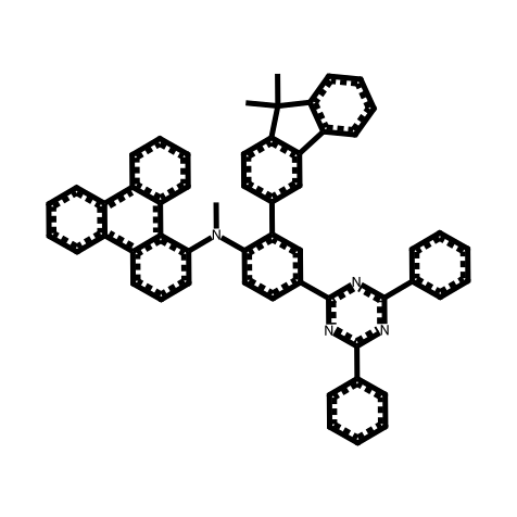 CN(c1ccc(-c2nc(-c3ccccc3)nc(-c3ccccc3)n2)cc1-c1ccc2c(c1)-c1ccccc1C2(C)C)c1cccc2c3ccccc3c3ccccc3c12